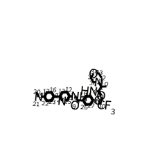 CC(C(=O)Nc1cc(C(=O)Nc2ccc(-c3ccc(N(C)C)cc3)nc2)ccc1OC(F)(F)F)N1CCOCC1